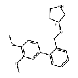 COc1ccc(-c2ccccc2CO[C@H]2CCNC2)cc1OC